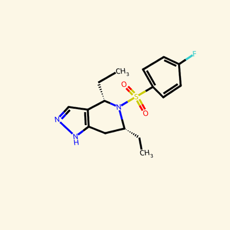 CC[C@@H]1Cc2[nH]ncc2[C@H](CC)N1S(=O)(=O)c1ccc(F)cc1